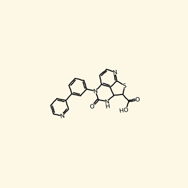 O=C(O)C1Sc2nccc3c2C1NC(=O)N3c1cccc(-c2cccnc2)c1